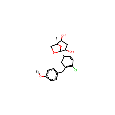 CCOc1ccc(CC2=C(Cl)C=CC([C@]34OC[C@](C)(O3)[C@@H](O)C[C@H]4O)C2)cc1